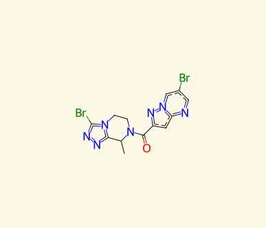 CC1c2nnc(Br)n2CCN1C(=O)c1cc2ncc(Br)cn2n1